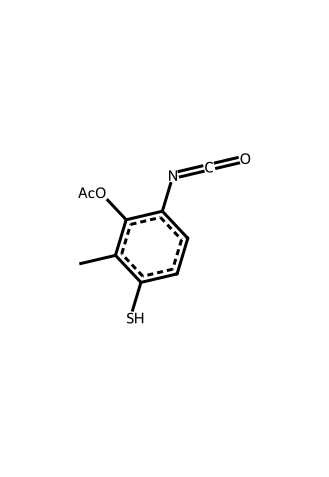 CC(=O)Oc1c(N=C=O)ccc(S)c1C